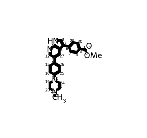 COC(=O)c1ccc(-c2c[nH]c3ncc(-c4ccc(N5CCN(C)CC5)cc4)cc23)cc1